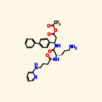 NCCC[C@H](NC(=O)CCCNc1ccccn1)C(=O)NC(CC(=O)OC(=O)C(F)(F)F)c1ccc(-c2ccccc2)cc1